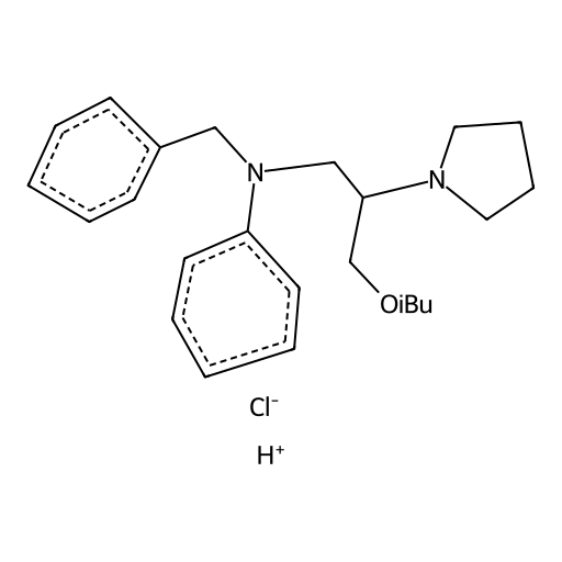 CC(C)COCC(CN(Cc1ccccc1)c1ccccc1)N1CCCC1.[Cl-].[H+]